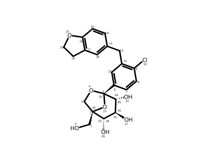 OC[C@@]12CO[C@@](c3ccc(Cl)c(Cc4ccc5c(c4)CCO5)c3)(O1)[C@H](O)[C@@H](O)[C@@H]2O